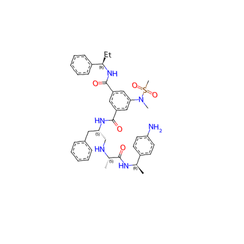 CC[C@@H](NC(=O)c1cc(C(=O)N[C@H](CN[C@@H](C)C(=O)N[C@H](C)c2ccc(N)cc2)Cc2ccccc2)cc(N(C)S(C)(=O)=O)c1)c1ccccc1